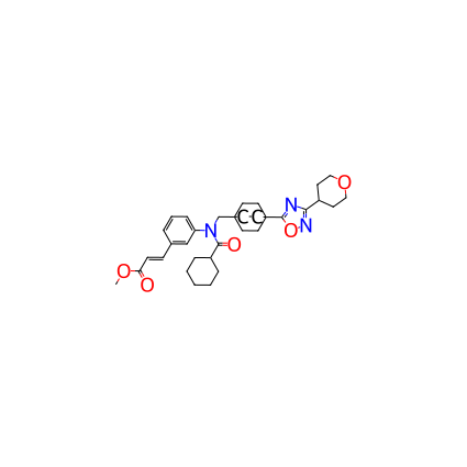 COC(=O)/C=C/c1cccc(N(CC23CCC(c4nc(C5CCOCC5)no4)(CC2)CC3)C(=O)C2CCCCC2)c1